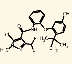 Cc1ccc(C(C)(C)C)c(Oc2ccccc2NC(=O)c2c(C(F)F)nn(C)c2Cl)c1